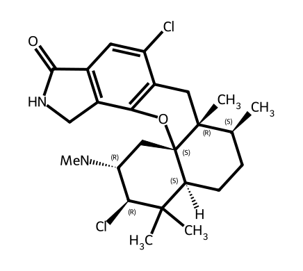 CN[C@@H]1C[C@@]23Oc4c(c(Cl)cc5c4CNC5=O)C[C@]2(C)[C@@H](C)CC[C@H]3C(C)(C)[C@H]1Cl